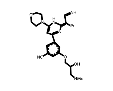 CNCC(O)COc1cc(C#N)cc(C2=N/C(=C(/C=N)C(C)C)NC(N3CCOCC3)=C2)c1